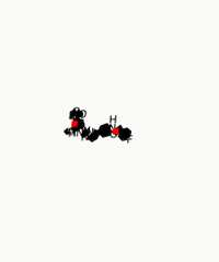 CCOc1cc(N2CCOC2=O)ccc1Nc1nc2ccc(-c3ccc(NC(=O)Cc4ccc(F)cc4)cc3)cn2n1